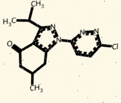 CC1CC(=O)c2c(C(C)C)nn(-c3ccc(Cl)nn3)c2C1